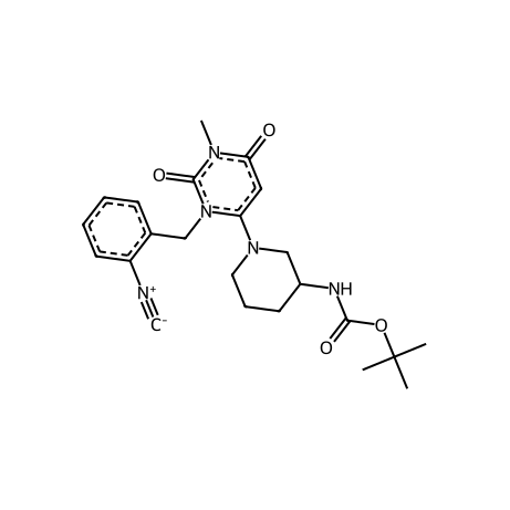 [C-]#[N+]c1ccccc1Cn1c(N2CCCC(NC(=O)OC(C)(C)C)C2)cc(=O)n(C)c1=O